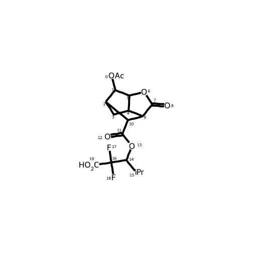 CC(=O)OC1C2CC3C1OC(=O)C3C2C(=O)OC(C(C)C)C(F)(F)C(=O)O